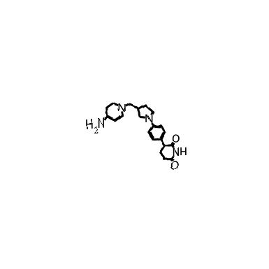 NC1CCN(CC2CCN(c3ccc(C4CCC(=O)NC4=O)cc3)C2)CC1